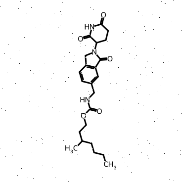 CCCCC(C)CCOC(=O)NCc1ccc2c(c1)C(=O)N(C1CCC(=O)NC1=O)C2